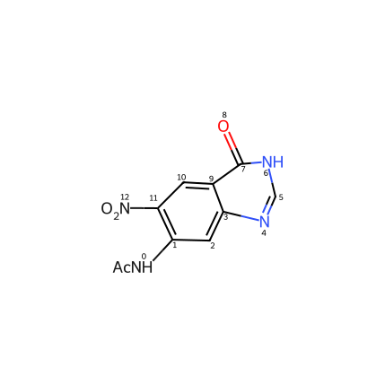 CC(=O)Nc1cc2nc[nH]c(=O)c2cc1[N+](=O)[O-]